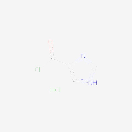 Cl.O=C(Cl)c1c[nH]cn1